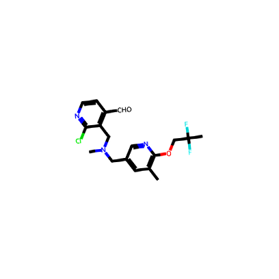 Cc1cc(CN(C)Cc2c(C=O)ccnc2Cl)cnc1OCC(C)(F)F